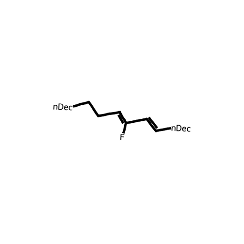 CCCCCCCCCCC=CC(F)=CCCCCCCCCCCCC